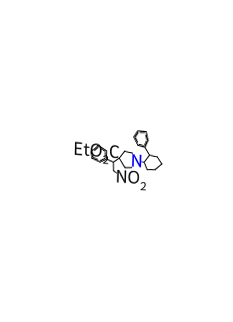 CCOC(=O)C1(C(C[N+](=O)[O-])c2ccccc2)CCN(C2CCCCC2c2ccccc2)CC1